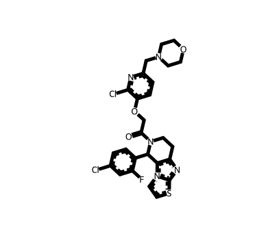 O=C(COc1ccc(CN2CCOCC2)nc1Cl)N1CCc2nc3sccn3c2C1c1ccc(Cl)cc1F